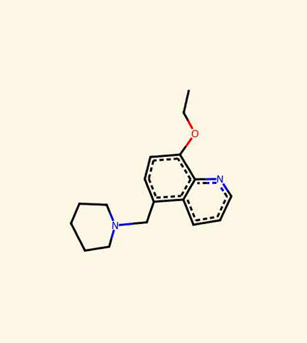 CCOc1ccc(CN2CCCCC2)c2cccnc12